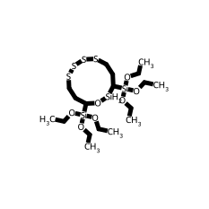 CCO[Si](OCC)(OCC)C1CCSSSSCCC([Si](OCC)(OCC)OCC)[SiH2]O1